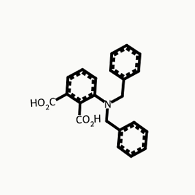 O=C(O)c1cccc(N(Cc2ccccc2)Cc2ccccc2)c1C(=O)O